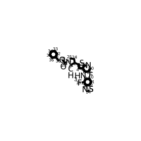 CC1C(c2cc3c(Nc4c(F)cc5scnc5c4F)ccnc3s2)CCN1C(=O)OCc1ccccc1